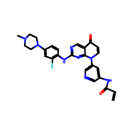 C=CC(=O)Nc1cncc(-n2ccc(=O)c3cnc(Nc4ccc(N5CCN(C)CC5)cc4F)nc32)c1